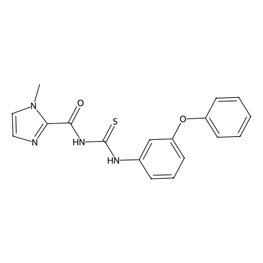 Cn1ccnc1C(=O)NC(=S)Nc1cccc(Oc2ccccc2)c1